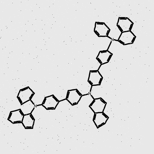 c1ccc(N(c2ccc(-c3ccc(N(c4ccc(-c5ccc(N(c6ccccc6)c6cccc7ccccc67)cc5)cc4)c4ccc5ccccc5c4)cc3)cc2)c2cccc3ccccc23)cc1